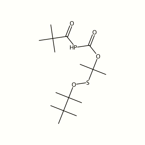 CC(C)(OC(=O)PC(=O)C(C)(C)C)SOC(C)(C)C(C)(C)C